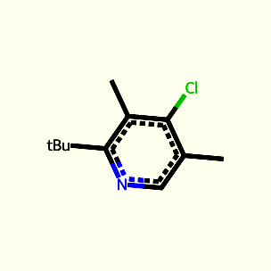 Cc1cnc(C(C)(C)C)c(C)c1Cl